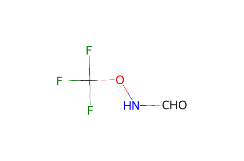 O=CNOC(F)(F)F